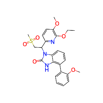 CCOc1nc(C(CS(C)(=O)=O)n2c(=O)[nH]c3c(-c4ccccc4OC)cccc32)ccc1OC